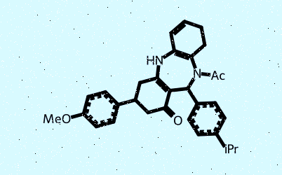 COc1ccc(C2CC(=O)C3=C(C2)NC2=C(CCC=C2)N(C(C)=O)C3c2ccc(C(C)C)cc2)cc1